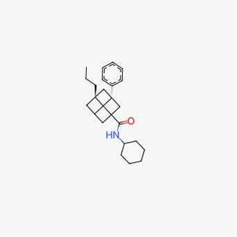 CCC[C@@]12CC3CC4(C(=O)NC5CCCCC5)C[C@](c5ccccc5)(C1)C342